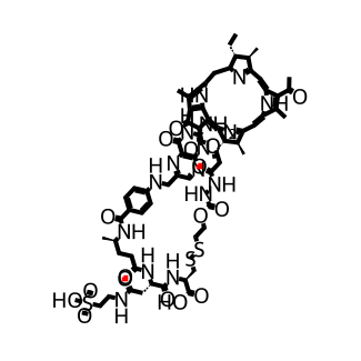 CC[C@H]1C2Cc3[nH]c4c(c3C)C(=O)C(C(=O)OC)/C4=C3N=C(/C=c4\[nH]/c(c(C(C)=O)c4C)=C\C(=N2)[C@@H]1C)[C@@H](C)[C@@H]/3CCC(=O)NNC(=O)OCCSSC[C@H](NC(=O)[C@H](CC(=O)NCCS(=O)(=O)O)NC(=O)CC[C@@H](C)NC(=O)c1ccc(NCc2cnc3nc(N)[nH]c(=O)c3n2)cc1)C(=O)O